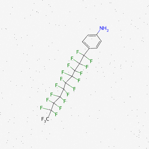 Nc1ccc(C(F)(F)C(F)(F)C(F)(F)C(F)(F)C(F)(F)C(F)(F)C(F)(F)C(F)(F)C(F)(F)C(F)(F)F)cc1